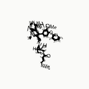 CNC/C=C/C(=O)N1C[C@@H]2[C@@H](C#Cc3c(-c4ccc(Oc5ccccn5)c(OC)c4)c4c(N)ncnc4n3C)[C@@H]2C1